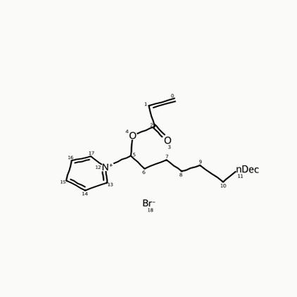 C=CC(=O)OC(CCCCCCCCCCCCCCC)[n+]1ccccc1.[Br-]